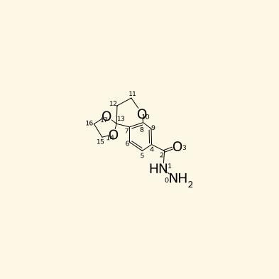 NNC(=O)c1ccc2c(c1)OCCC21OCCO1